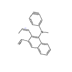 C=Cc1cc2ccccc2c(N(C)c2cc#ccc2)c1/C=C\C